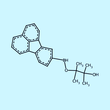 CC(C)(O)C(C)(C)OBc1ccc2c(c1)-c1cccc3cccc-2c13